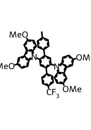 COc1ccc2c(c1)c1cc(OC)ccc1n2-c1cc(-c2ccc(C(F)(F)F)cc2)c(-n2c3ccc(OC)cc3c3cc(OC)ccc32)cc1-c1ccc(C)cc1